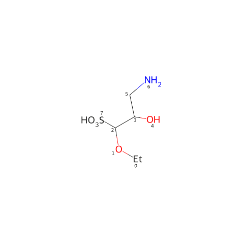 CCOC(C(O)CN)S(=O)(=O)O